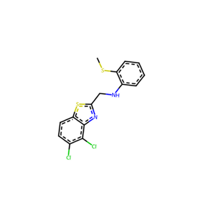 CSc1ccccc1NCc1nc2c(Cl)c(Cl)ccc2s1